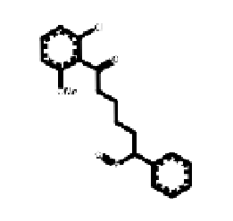 COc1cccc(Cl)c1C(=O)CCCCC(P=O)c1ccccc1